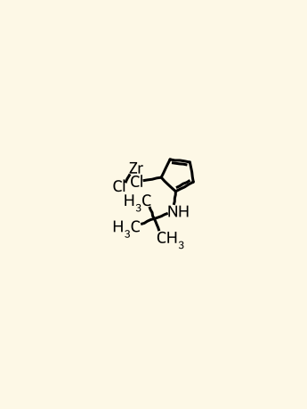 CC(C)(C)NC1=CC=CC1Cl.[Cl][Zr]